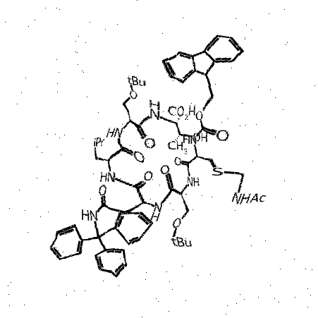 CC(=O)NCSC[C@H](NC(=O)OCC1c2ccccc2-c2ccccc21)C(=O)N[C@@H](COC(C)(C)C)C(=O)N[C@@H](CC(=O)NC(c1ccccc1)(c1ccccc1)c1ccccc1)C(=O)N[C@@H](CC(C)C)C(=O)N[C@@H](COC(C)(C)C)C(=O)N[C@H](C(=O)O)[C@@H](C)O